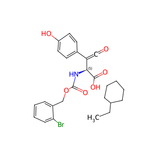 CCC1CCCCC1.O=C=C(c1ccc(O)cc1)[C@H](NC(=O)OCc1ccccc1Br)C(=O)O